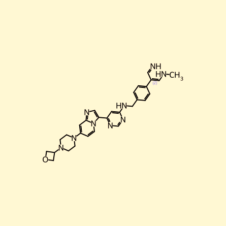 CN/C=C(\C=N)c1ccc(CNc2cc(-c3cnc4cc(N5CCN(C6COC6)CC5)ccn34)ncn2)cc1